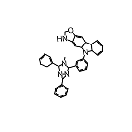 CN1C(C2=CC=CCC2)N2C(c3ccccc3)N2C1c1cccc(N2C3C=CC=CC3C3C=C4OCNC4=CC32)c1